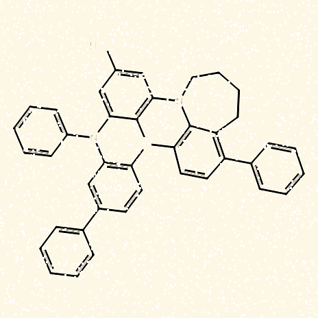 Cc1cc2c3c(c1)N(c1ccccc1)c1cc(-c4ccccc4)ccc1B3c1ccc(-c3ccccc3)c3c1N2CCCC3